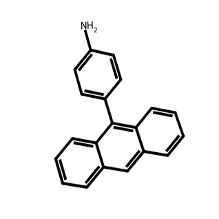 Nc1ccc(-c2c3ccccc3cc3ccccc23)cc1